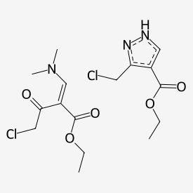 CCOC(=O)/C(=C/N(C)C)C(=O)CCl.CCOC(=O)c1c[nH]nc1CCl